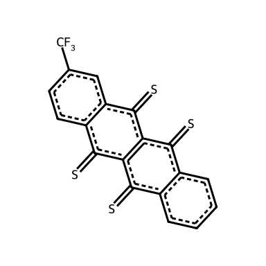 FC(F)(F)c1ccc2c(=S)c3c(=S)c4ccccc4c(=S)c=3c(=S)c2c1